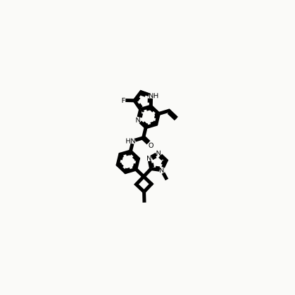 C=Cc1cc(C(=O)Nc2cccc(C3(c4nncn4C)CC(C)C3)c2)nc2c(F)c[nH]c12